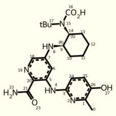 Cc1nc(Nc2cc(N[C@@H]3CCCC[C@@H]3N(C(=O)O)C(C)(C)C)cnc2C(N)=O)ccc1O